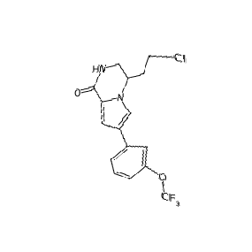 O=C1NCC(CCCl)n2cc(-c3cccc(OC(F)(F)F)c3)cc21